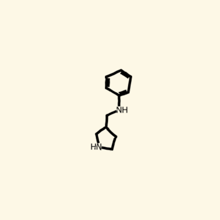 c1ccc(NCC2CCNC2)cc1